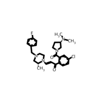 C[C@@H]1CN(Cc2ccc(F)cc2)CCN1/C=C/C(=O)c1ccc(Cl)cc1C(=O)N1CC[C@@H](N(C)C)C1